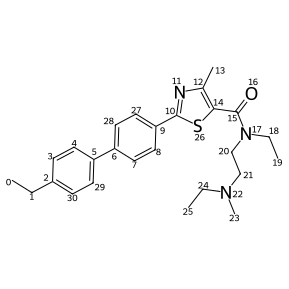 CCc1ccc(-c2ccc(-c3nc(C)c(C(=O)N(CC)CCN(C)CC)s3)cc2)cc1